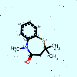 CN1C(=O)CC(C)(C)Sc2ccccc21